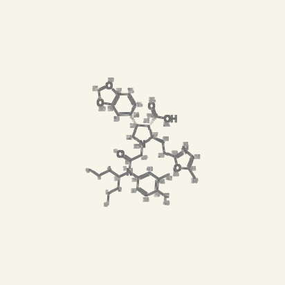 CCCC(CCC)N(C(=O)CN1C[C@H](c2ccc3c(c2)OCO3)[C@H](C(=O)O)[C@H]1CCc1ncc(C)o1)c1ccc(F)c(C)c1